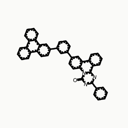 O=c1nc(-c2ccccc2)nc2c3ccccc3c3cc(-c4cccc(-c5ccc6c7ccccc7c7ccccc7c6c5)c4)ccc3n12